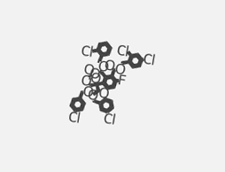 O=[C]OC(C(=O)OCc1ccc(Cl)cc1)(C(=O)OCc1cccc(Cl)c1)c1ccc(F)c(C(=O)OCc2ccc(Cl)cc2Cl)c1C(=O)OCc1ccccc1Cl